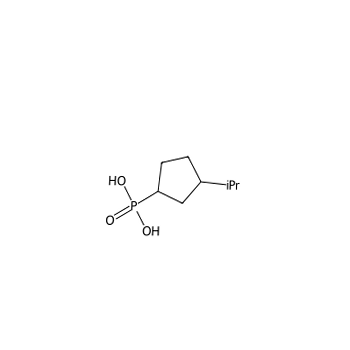 CC(C)C1CCC(P(=O)(O)O)C1